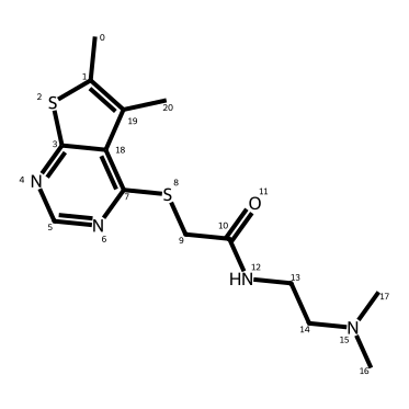 Cc1sc2ncnc(SCC(=O)NCCN(C)C)c2c1C